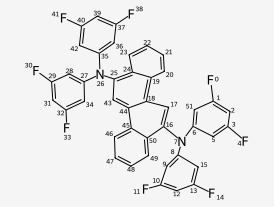 Fc1cc(F)cc(N(c2cc(F)cc(F)c2)c2cc3c4ccccc4c(N(c4cc(F)cc(F)c4)c4cc(F)cc(F)c4)cc3c3ccccc23)c1